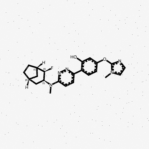 CN(c1ccc(-c2ccc(Oc3nccn3C)cc2O)nn1)[C@H]1C[C@@H]2CC[C@@H](C2)[C@H]1F